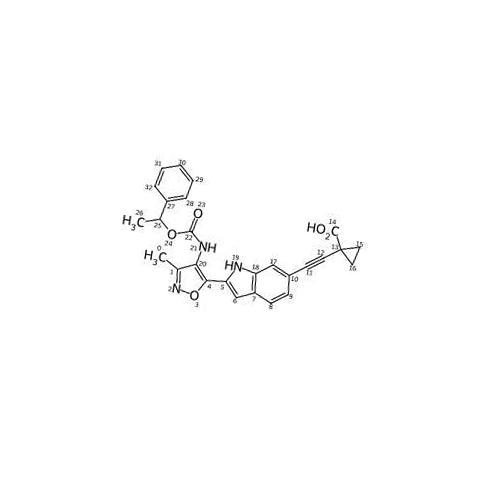 Cc1noc(-c2cc3ccc(C#CC4(C(=O)O)CC4)cc3[nH]2)c1NC(=O)OC(C)c1ccccc1